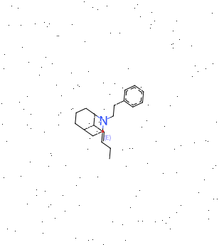 CC/C=C/C1C2CCCC1N(CCc1ccccc1)CC2